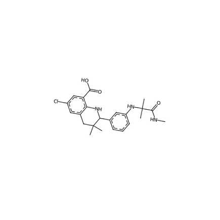 CNC(=O)C(C)(C)Nc1cccc(C2Nc3c(cc(Cl)cc3C(=O)O)CC2(C)C)c1